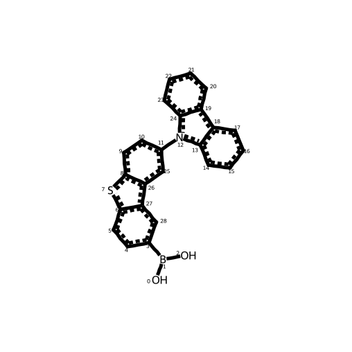 OB(O)c1ccc2sc3ccc(-n4c5ccccc5c5ccccc54)cc3c2c1